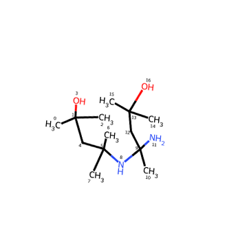 CC(C)(O)CC(C)(C)NC(C)(N)CC(C)(C)O